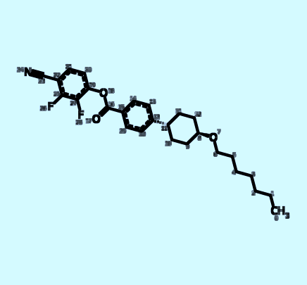 CCCCCCCO[C@H]1CC[C@H](c2ccc(C(=O)Oc3ccc(C#N)c(F)c3F)cc2)CC1